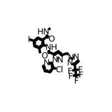 CNC(=O)c1cc(I)cc(C)c1NC(=O)c1cc(Cn2ncc(C(F)(F)C(F)(F)F)n2)nn1-c1ncccc1Cl